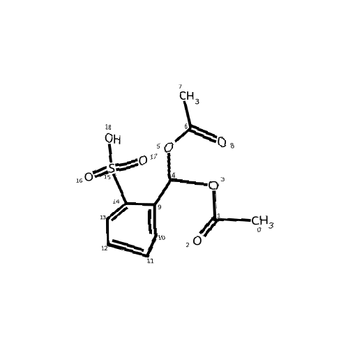 CC(=O)OC(OC(C)=O)c1ccccc1S(=O)(=O)O